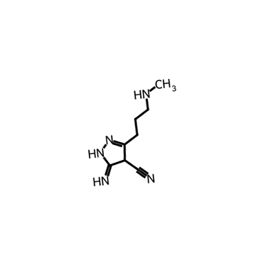 CNCCCC1=NNC(=N)C1C#N